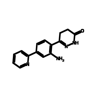 Nc1cc(-c2ccccn2)ccc1C1=NNC(=O)CC1